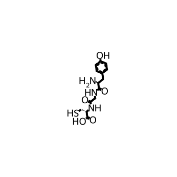 N[C@@H](Cc1ccc(O)cc1)C(=O)NCC(=O)N[C@@H](CS)C(=O)O